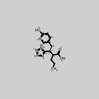 CCCC(C(=O)O)[C@H](Cc1ccc(O)nc1)c1nnn[nH]1